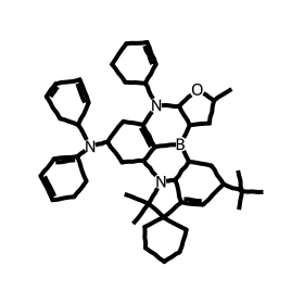 CC1CC2B3C4=C(CC(N(C5=CC=CCC5)C5C=CC=CC5)CC4N4C5C(=CC(C(C)(C)C)CC35)C3(CCCCC3)C4(C)C)N(C3C=CCCC3)C2O1